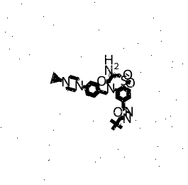 CC(C)(C)c1nnc(-c2ccc3c(c2)N(Cc2ccc(N4CCN(C5CC5)CC4)cc2)C(=O)[C@@H](N)CS3(=O)=O)o1